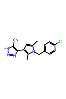 Cc1cc(-c2nn[nH]c2C#N)c(C)n1Cc1ccc(Cl)cc1